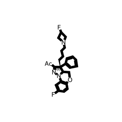 CC(=O)C1=NN2c3cc(F)ccc3OCC2[C@@]1(CCCCN1CC(F)C1)c1ccccc1